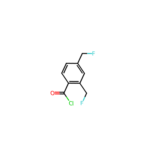 O=C(Cl)c1ccc(CF)cc1CF